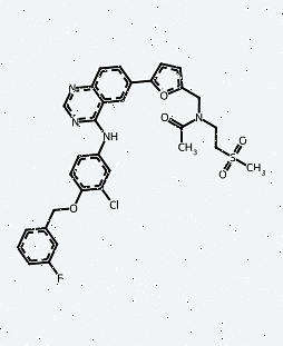 CC(=O)N(CCS(C)(=O)=O)Cc1ccc(-c2ccc3ncnc(Nc4ccc(OCc5cccc(F)c5)c(Cl)c4)c3c2)o1